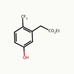 CCOC(=O)Cc1cc(O)ccc1C(F)(F)F